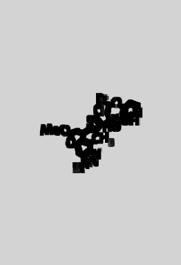 CCC1CN(Cc2cc(C(CC(=O)OC)c3ccc4c(nnn4CC)c3C)sc2Cl)S(O)(O)c2cnccc2O1